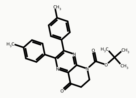 Cc1ccc(-c2nc3c(nc2-c2ccc(C)cc2)N(C(=O)OC(C)(C)C)CCC3=O)cc1